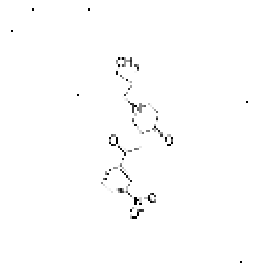 CCCCN1CCC(=O)C(CC(=O)c2cccc([N+](=O)[O-])c2)C1